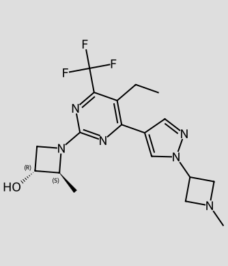 CCc1c(-c2cnn(C3CN(C)C3)c2)nc(N2C[C@@H](O)[C@@H]2C)nc1C(F)(F)F